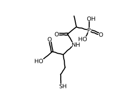 CC(C(=O)NC(CCS)C(=O)O)P(=O)(O)O